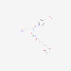 CC(C)C(=O)OCc1ccc(NC(=O)[C@H](CCCNC(N)=O)NC(=O)[C@@H](NC(=O)CCCCCN2C(=O)CC(P)C2=O)C(C)C)cc1